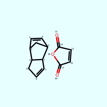 C1=CC2C3C=CC(C3)C2C1.O=C1C=CC(=O)O1